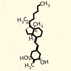 C=C1[C@H](O)CC(=C/C=C2\CCC[C@]3(C)[C@@H]([C@H](C)CCCCC)CC[C@@H]23)C[C@H]1O